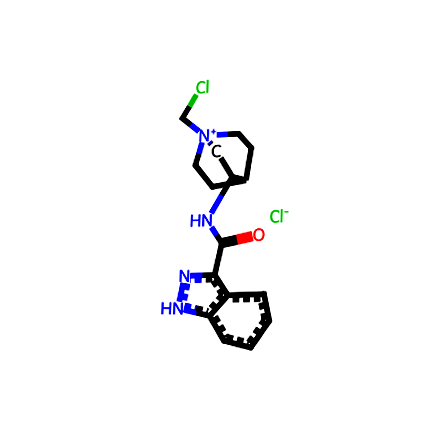 O=C(NC1C[N+]2(CCl)CCC1CC2)c1n[nH]c2ccccc12.[Cl-]